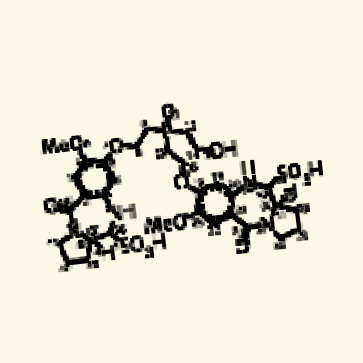 COc1cc2c(cc1OCCP(=O)(CCO)CCOc1cc3c(cc1OC)C(=O)N1CCC[C@H]1C(S(=O)(=O)O)N3)NC(S(=O)(=O)O)[C@@H]1CCCN1C2=O